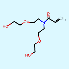 C=CC(=O)N(CCOCCO)CCOCCO